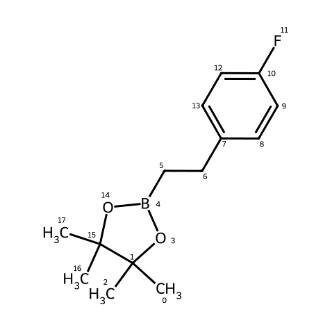 CC1(C)OB(CCc2ccc(F)cc2)OC1(C)C